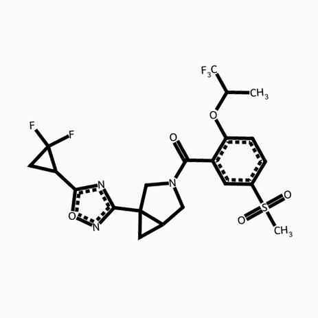 CC(Oc1ccc(S(C)(=O)=O)cc1C(=O)N1CC2CC2(c2noc(C3CC3(F)F)n2)C1)C(F)(F)F